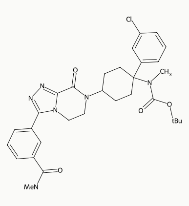 CNC(=O)c1cccc(-c2nnc3n2CCN(C2CCC(c4cccc(Cl)c4)(N(C)C(=O)OC(C)(C)C)CC2)C3=O)c1